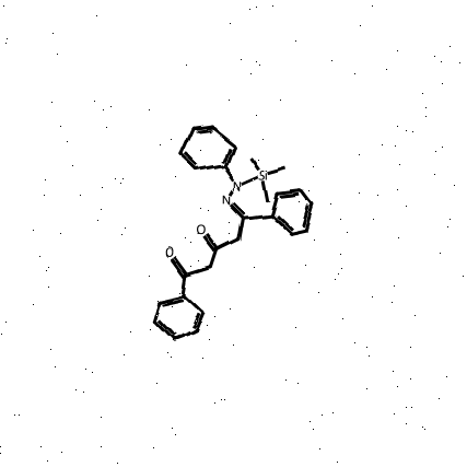 C[Si](C)(C)N(N=C(CC(=O)CC(=O)c1ccccc1)c1ccccc1)c1ccccc1